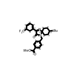 COC(=O)c1ccc(CN2C(=O)C(C3=CC=CC(C(F)(F)F)C3)=NC23CCC(C(C)(C)C)CC3)cc1